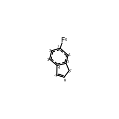 Fc1ccc2c(c1)[CH]C=C2